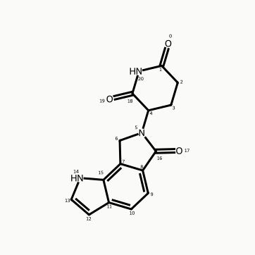 O=C1CCC(N2Cc3c(ccc4cc[nH]c34)C2=O)C(=O)N1